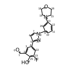 O=Cc1cc(-c2ccn(-c3cccc(N4CCOCC4)c3)n2)cc(F)c1O